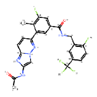 CC(=O)Nc1cn2nc(-c3cc(C(=O)NCc4cc(C(F)(F)F)ccc4F)cc(F)c3C)ccc2n1